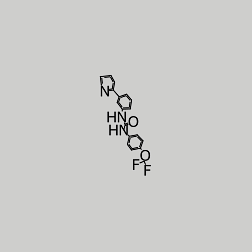 O=C(Nc1ccc(OC(F)F)cc1)Nc1cccc(-c2ccccn2)c1